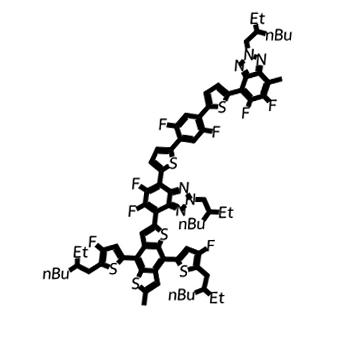 CCCCC(CC)Cc1sc(-c2c3cc(-c4c(F)c(F)c(-c5ccc(-c6cc(F)c(-c7ccc(-c8c(F)c(F)c(C)c9nn(CC(CC)CCCC)nc89)s7)cc6F)s5)c5nn(CC(CC)CCCC)nc45)sc3c(-c3cc(F)c(CC(CC)CCCC)s3)c3cc(C)sc23)cc1F